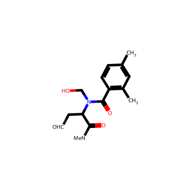 CNC(=O)C(CC=O)N(CO)C(=O)c1ccc(C)cc1C